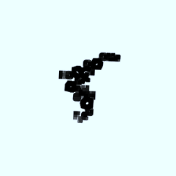 COc1ccc2nc(-c3ccc(O)c4c3C(C)(C)CN4c3ccccc3NC(=O)Nc3ccc(OC(F)(F)F)cc3)oc2c1